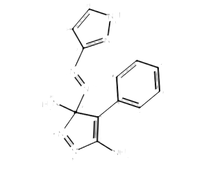 NC1=C(c2ccccc2)C(N)(N=Nc2cc[nH]n2)N=N1